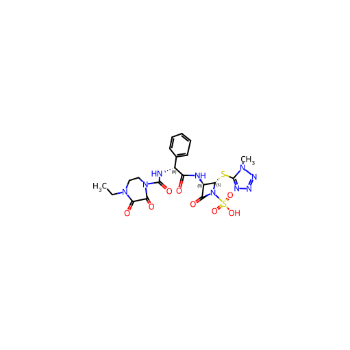 CCN1CCN(C(=O)N[C@@H](C(=O)N[C@@H]2C(=O)N(S(=O)(=O)O)[C@H]2Sc2nnnn2C)c2ccccc2)C(=O)C1=O